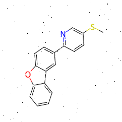 CSc1ccc(-c2ccc3oc4ccccc4c3c2)nc1